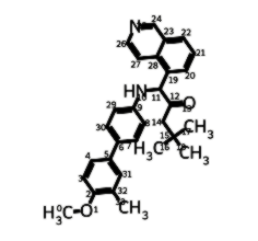 COc1ccc(-c2ccc(NC(C(=O)CC(C)(C)C)c3cccc4cnccc34)cc2)cc1C